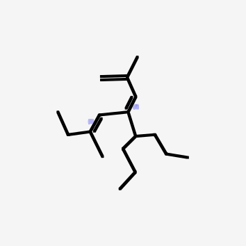 C=C(C)/C=C(\C=C(/C)CC)C(CCC)CCC